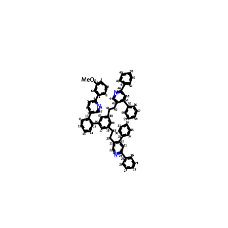 COc1cccc(-c2ccc(-c3ccccc3-c3cc(CCc4cnc(-c5ccccc5)cc4-c4ccccc4)cc(CCc4cnc(-c5ccccc5)cc4-c4ccccc4)c3)cn2)c1